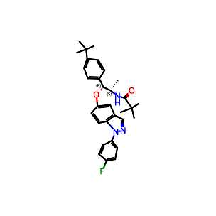 C[C@H](NC(=O)C(C)(C)C)[C@H](Oc1ccc2c(cnn2-c2ccc(F)cc2)c1)c1ccc(C(C)(C)C)cc1